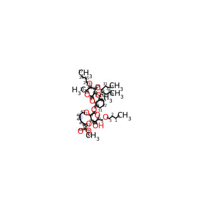 CCCCOC[C@@H]1O[C@@H](O[C@@H]2CCC[C@@H](C)C2O[C@@H]2OC(C)[C@@H](OCCCC)C(OCCCC)[C@@H]2OCCCC)C2OC/C=C\C[C@H](C(=O)OC)OC2[C@H]1O